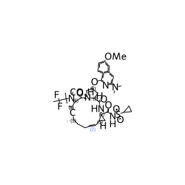 COc1ccc2c(O[C@@H]3C[C@H]4C(=O)N[C@]5(C(=O)NS(=O)(=O)C6CC6)C[C@H]5/C=C\CC[C@H](C)C[C@@H](C)[C@H](N(C(=O)O)C(C)(C)C(C)(F)F)C(=O)N4C3)nc(N(C)C)cc2c1